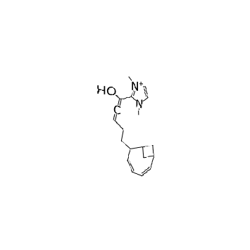 Cn1cc[n+](C)c1C(O)=C=CCCC1/C=C\C=C/C2CC1C2